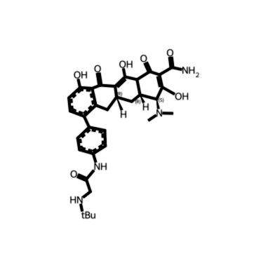 CN(C)[C@@H]1C(O)=C(C(N)=O)C(=O)C2C(O)=C3C(=O)c4c(O)ccc(-c5ccc(NC(=O)CNC(C)(C)C)cc5)c4C[C@H]3C[C@H]21